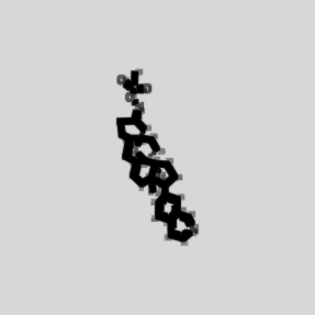 CC12CC=C3C=C4CC/C(=N\OS(C)(=O)=O)C[C@]45CC[C@]3(O5)[C@@H]1CCC2c1ccc2ccncc2c1